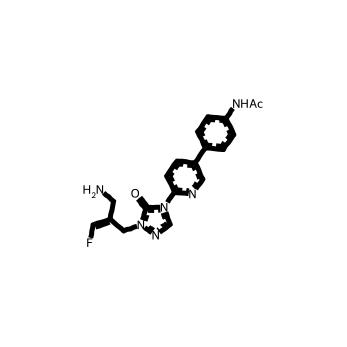 CC(=O)Nc1ccc(-c2ccc(-n3cnn(C/C(=C\F)CN)c3=O)nc2)cc1